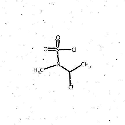 CC(Cl)N(C)S(=O)(=O)Cl